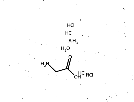 Cl.Cl.Cl.Cl.NCC(=O)O.O.[AlH3]